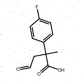 CC(CC=O)(C(=O)O)c1ccc(F)cc1